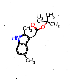 Cc1ccc2[nH]c(C)c(CC(=O)OC(C)(C)C)c2c1